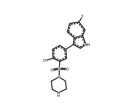 O=S(=O)(c1cc(-c2c[nH]c3cc(F)ccc23)ccc1Cl)N1CCNCC1